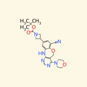 CC(C)(C)OC(=O)N1CC(c2cc(C#N)c3c(c2)Nc2ncnc(N4CCOCC4)c2CO3)C1